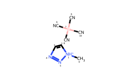 C[NH+]1C=CN=N1.N#C[B-](C#N)(C#N)C#N